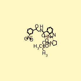 CC(C)(C)OC(=O)N1CCC[C@H]1c1nc2cccc(C(=O)NCC(=O)c3cccc([N+](=O)[O-])c3)c2[nH]1